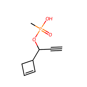 C#CC(OP(C)(=O)O)C1C=CC1